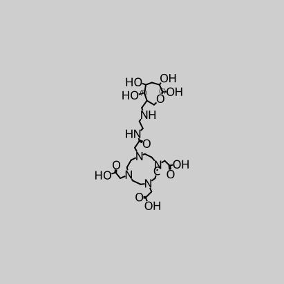 O=C(O)CN1CCN(CC(=O)O)CCN(CC(=O)NCCNCC2CO[C@H](O)C(O)CC(O)[C@@H]2O)CCN(CC(=O)O)CC1